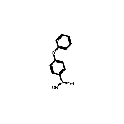 O=NB(O)c1ccc(Oc2ccccc2)cc1